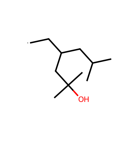 [CH2]CC(CC(C)C)CC(C)(C)O